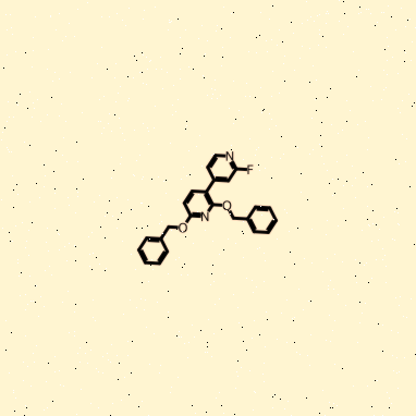 Fc1cc(-c2ccc(OCc3ccccc3)nc2OCc2ccccc2)ccn1